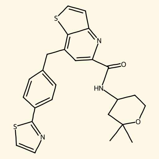 CC1(C)CC(NC(=O)c2cc(Cc3ccc(-c4nccs4)cc3)c3sccc3n2)CCO1